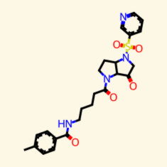 Cc1ccc(C(=O)NCCCCC(=O)N2CCC3C2C(=O)CN3S(=O)(=O)c2cccnc2)cc1